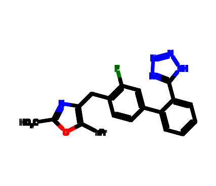 CCCc1oc(C(=O)O)nc1Cc1ccc(-c2ccccc2-c2nnn[nH]2)cc1F